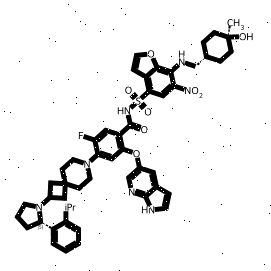 CC(C)c1ccccc1[C@@H]1CCCN1C1CC2(CCN(c3cc(Oc4cnc5[nH]ccc5c4)c(C(=O)NS(=O)(=O)c4cc([N+](=O)[O-])c(NC[C@H]5CC[C@](C)(O)CC5)c5occc45)cc3F)CC2)C1